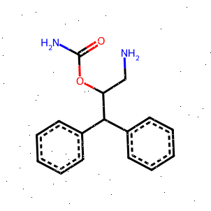 NCC(OC(N)=O)C(c1ccccc1)c1ccccc1